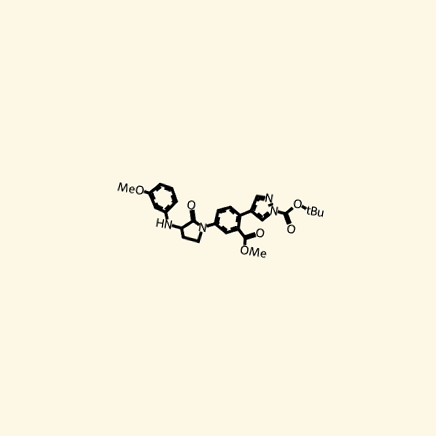 COC(=O)c1cc(N2CCC(Nc3cccc(OC)c3)C2=O)ccc1-c1cnn(C(=O)OC(C)(C)C)c1